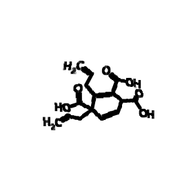 C=CCC1=C(C(=O)O)C(C(=O)O)C=CC1(CC=C)C(=O)O